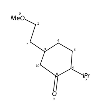 COCCC1CCC(C(C)C)C(=O)C1